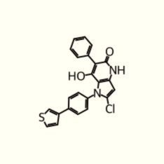 O=c1[nH]c2cc(Cl)n(-c3ccc(-c4ccsc4)cc3)c2c(O)c1-c1ccccc1